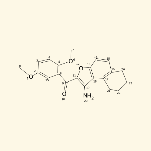 COc1ccc(OC)c(C(=O)c2oc3ccc4c(c3c2N)CCCC4)c1